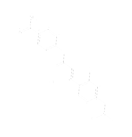 CCN(CC)Cc1ccc(/C=C/C(=O)Oc2ccc(C(=N)N)cc2)c(O)c1.Cl